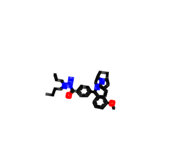 C=CCN1C2CCC1CN(C(c1ccc(C(=O)NN(CCC)CCCC)cc1)c1cccc(OC)c1)CC2